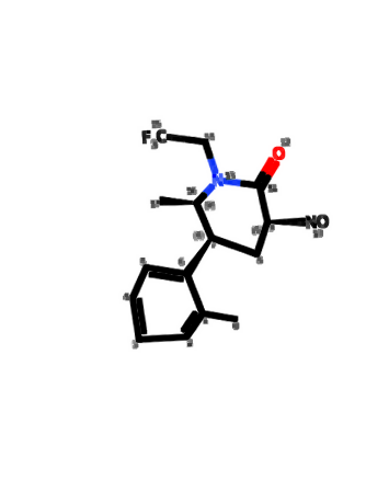 Cc1ccccc1[C@@H]1C[C@H](N=O)C(=O)N(CC(F)(F)F)[C@@H]1C